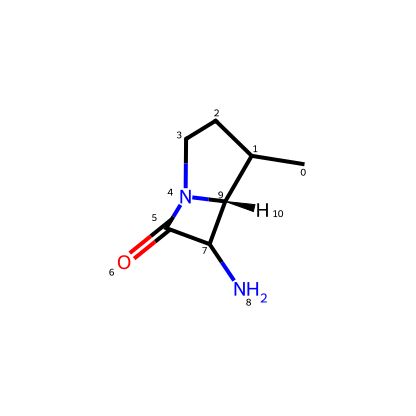 CC1CCN2C(=O)C(N)[C@@H]12